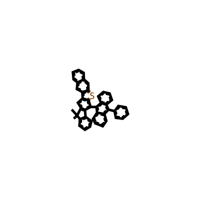 CC1(C)c2ccccc2-c2c1cc1c(sc3cc4ccccc4cc31)c2-c1c2ccccc2c(-c2ccccc2)c2ccccc12